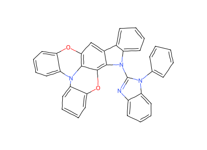 c1ccc(-n2c(-n3c4ccccc4c4cc5c6c(c43)Oc3ccccc3N6c3ccccc3O5)nc3ccccc32)cc1